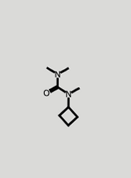 CN(C)C(=O)N(C)C1CCC1